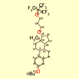 CCCCOc1ccc2c(c1)CCC1C2CCC2(C)C(OCCCOC(C(F)(F)F)(C(F)(F)F)C(F)(F)F)CCC12